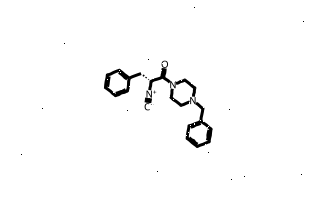 [C-]#[N+][C@H](Cc1ccccc1)C(=O)N1CCN(Cc2ccccc2)CC1